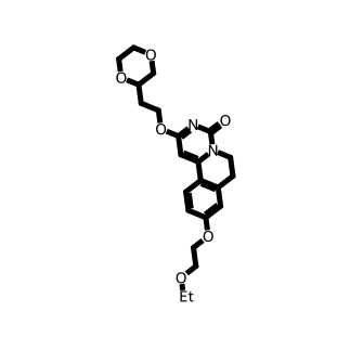 CCOCCOc1ccc2c(c1)CCn1c-2cc(OCCC2COCCO2)nc1=O